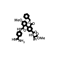 COC(=O)C(NC(=O)c1ccc(-c2ccc(OC)cc2C(=O)Nc2ccc(C(=N)N)cc2)c(C(=O)OCc2ccccc2)c1)C(C)C